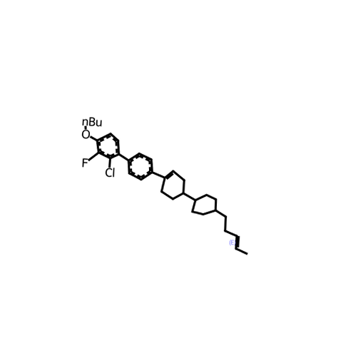 C/C=C/CCC1CCC(C2CC=C(c3ccc(-c4ccc(OCCCC)c(F)c4Cl)cc3)CC2)CC1